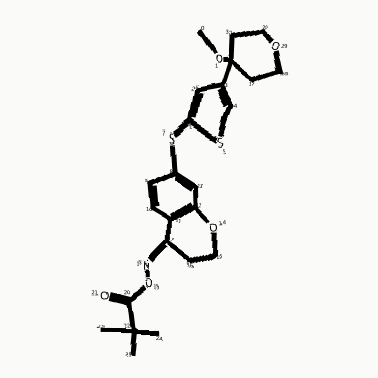 COC1(c2csc(Sc3ccc4c(c3)OCCC4=NOC(=O)C(C)(C)C)c2)CCOCC1